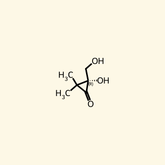 CC1(C)C(=O)[C@]1(O)CO